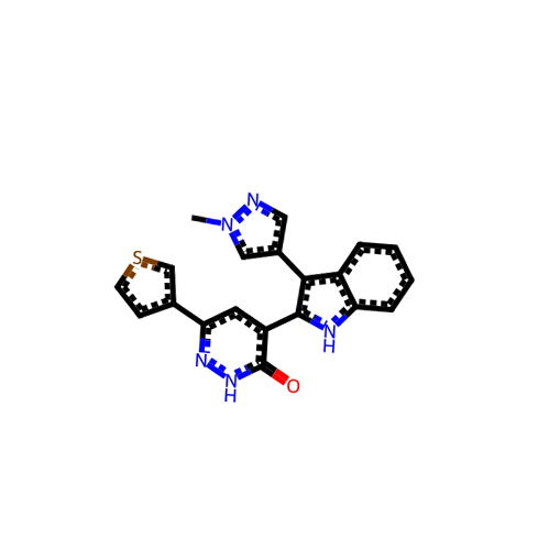 Cn1cc(-c2c(-c3cc(-c4ccsc4)n[nH]c3=O)[nH]c3ccccc23)cn1